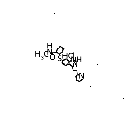 CNC(=O)c1ccccc1Sc1ccc2c(C=Cc3ccccn3)n[nH]c2c1.Cl